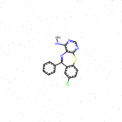 CCCCNc1ncnc2c1N=C(c1ccccc1)c1cc(Cl)ccc1S2